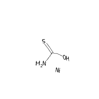 NC(O)=S.[Ni]